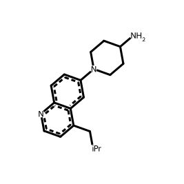 CC(C)Cc1ccnc2ccc(N3CCC(N)CC3)cc12